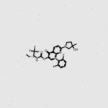 CC[C@@H](NC(=O)Oc1cn(-c2c(F)cccc2F)c2nc(N3CCC(C)(O)C3)ccc2c1=O)C(F)(F)F